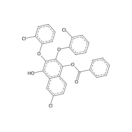 O=C(Oc1c(Oc2ccccc2Cl)c(Oc2ccccc2Cl)c(O)c2cc(Cl)ccc12)c1ccccc1